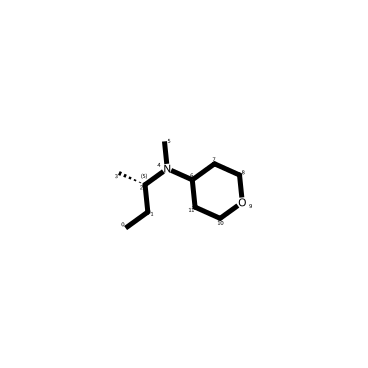 CC[C@H](C)N(C)C1CCOCC1